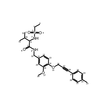 CCS(=O)(=O)NC(C(=O)NCc1ccc(OCC#Cc2ccc(C)cc2)c(OC)c1)C(C)C